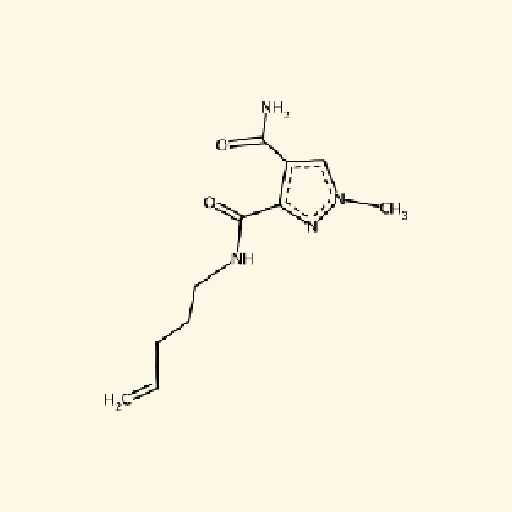 C=CCCCNC(=O)c1nn(C)cc1C(N)=O